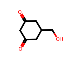 O=C1CC(=O)CC(CO)C1